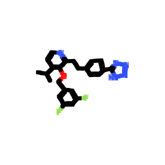 CC(C)c1ccnc(CCc2ccc(-c3nnn[nH]3)cc2)c1OCc1cc(F)cc(F)c1